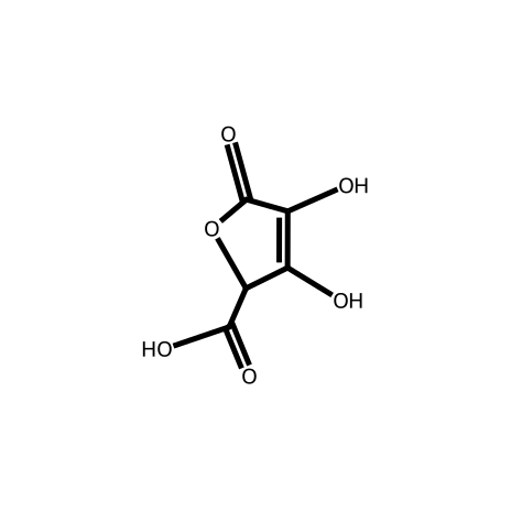 O=C1OC(C(=O)O)C(O)=C1O